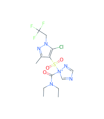 CCN(CC)C(=O)[N+]1(S(=O)(=O)c2c(C)nn(CC(F)(F)F)c2Cl)C=NC=N1